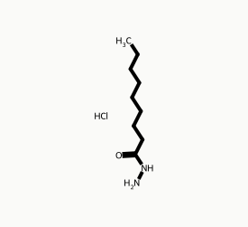 CCCCCCCCC(=O)NN.Cl